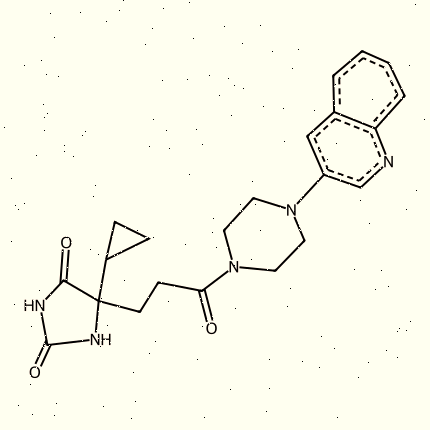 O=C1NC(=O)C(CCC(=O)N2CCN(c3cnc4ccccc4c3)CC2)(C2CC2)N1